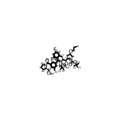 CCCO[C@@H]1C[C@H]([C@@H](O[Si](C)(C)C(C)(C)C)[C@H](Cc2cc(F)cc(F)c2)NC(=O)c2cc(C)cc(C(=O)N3CCC[C@@H]3COC)c2)N(C(=O)OC(C)(C)C)C1